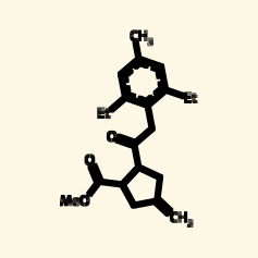 C=C1CC(C(=O)Cc2c(CC)cc(C)cc2CC)C(C(=O)OC)C1